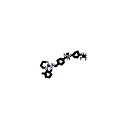 Cc1cccc(C)c1N1CCCCS/C1=N\N=C\c1ccc(-c2ncn(-c3ccc(OC(F)(F)F)cc3)n2)cc1